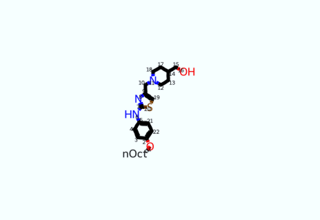 CCCCCCCCOc1ccc(Nc2nc(CN3CCC(CO)CC3)cs2)cc1